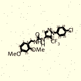 COc1ccc(CNC(=O)Nc2cnn(-c3ccc(Cl)cc3)c2C(F)(F)F)c(OC)c1